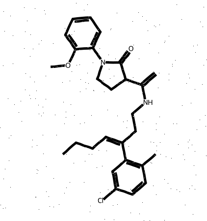 C=C(NCC/C(=C/CCC)c1cc(Cl)ccc1C)C1CCN(c2ccccc2OC)C1=O